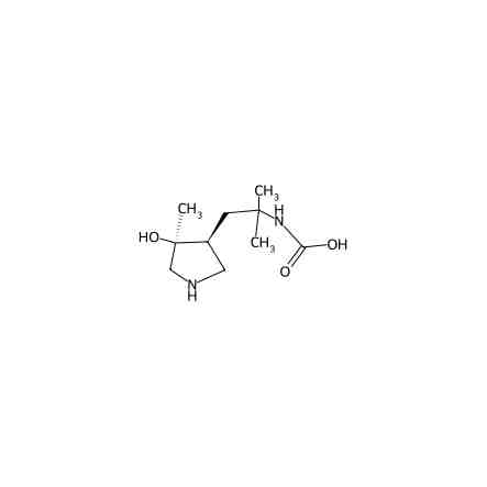 CC(C)(C[C@H]1CNC[C@@]1(C)O)NC(=O)O